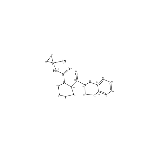 N#CC1(NC(=O)C2CCCCC2C(=O)N2CCc3ccccc3C2)CC1